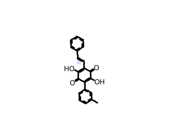 Cc1cccc(C2=C(O)C(=O)C(/C=C/c3ccccc3)=C(O)C2=O)c1